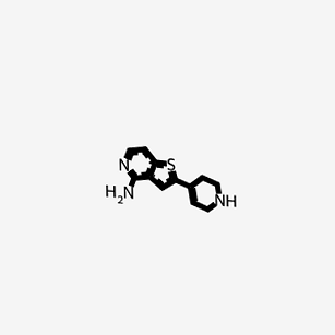 Nc1nccc2sc(C3=CCNCC3)cc12